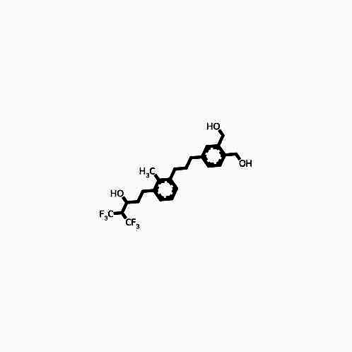 Cc1c(CCCc2ccc(CO)c(CO)c2)cccc1CCC(O)C(C(F)(F)F)C(F)(F)F